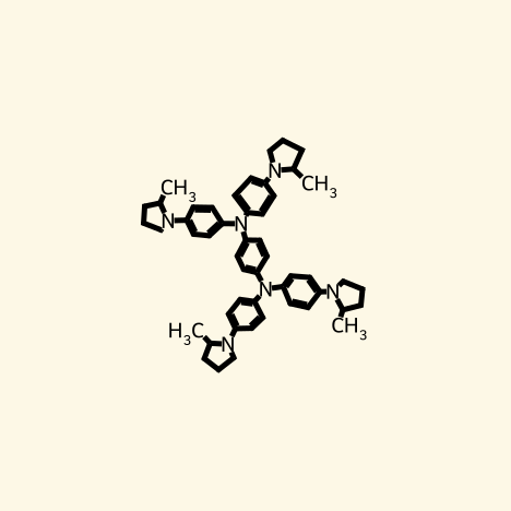 CC1CCCN1c1ccc(N(c2ccc(N(c3ccc(N4CCCC4C)cc3)c3ccc(N4CCCC4C)cc3)cc2)c2ccc(N3CCCC3C)cc2)cc1